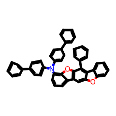 C1=CC(c2ccccc2)CC=C1N(c1ccc(-c2ccccc2)cc1)c1cccc2c1oc1c(-c3ccccc3)c3c(cc12)oc1ccccc13